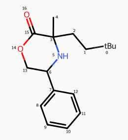 CC(C)(C)CCC1(C)NC(c2ccccc2)COC1=O